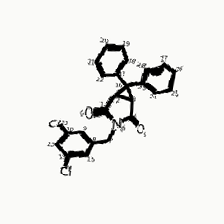 O=C1C2C(C(=O)N1Cc1cc(Cl)cc(Cl)c1)C2(c1ccccc1)c1ccccc1